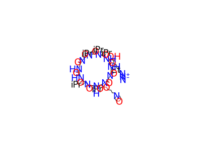 CC[C@@H]1NC(=O)[C@H]([C@H](O)[C@H](C)CCCCCN=[N+]=[N-])NC(=O)[C@H](C(C)C)N(C)C(=O)[C@H](CC(C)C)N(C)C(=O)[C@H](CC(C)C)N(C)C(=O)[C@@H](C)NC(=O)[C@H](C)NC(=O)[C@H](CC(C)C)N(C)C(=O)[C@H](C(C)C)NC(=O)[C@H]([C@@H](C)OCCCCN2CCOCC2)N(C)C(=O)[C@@H](C)N(C)C1=O